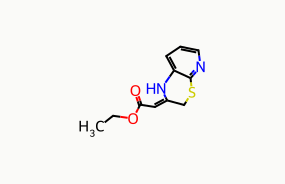 CCOC(=O)C=C1CSc2ncccc2N1